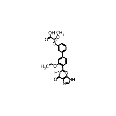 CCOc1cc(-c2cccc(O[C@H](OC)C(=O)O)c2)ccc1-c1nc2[nH]cnc2c(=O)[nH]1